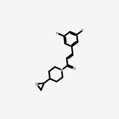 O=C(/C=C/c1cc(F)cc(F)c1)N1CCC(C2CO2)CC1